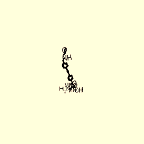 COCCNCc1ccc(C#Cc2ccc(C(=O)N[C@H](C(=O)NO)[C@@H](C)N)cc2)cc1